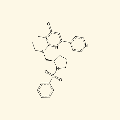 CCN(C[C@H]1CCCN1S(=O)(=O)c1ccccc1)c1nc(-c2ccncc2)cc(=O)n1C